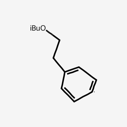 CC(C)COCCc1cc[c]cc1